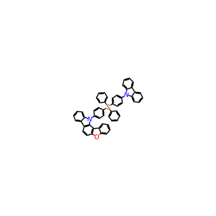 c1ccc(S(c2ccccc2)(c2ccc(-n3c4ccccc4c4ccccc43)cc2)c2ccc(-n3c4ccccc4c4ccc5oc6ccccc6c5c43)cc2)cc1